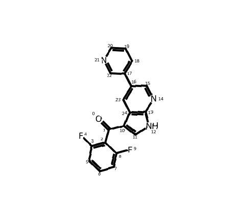 O=C(c1c(F)cccc1F)c1c[nH]c2ncc(-c3cccnc3)cc12